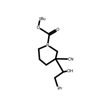 CC(C)CC(O)C1(C#N)CCCN(C(=O)OC(C)(C)C)C1